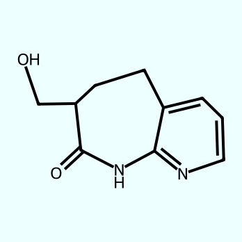 O=C1Nc2ncccc2CCC1CO